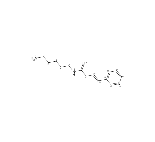 NCCCCCNC(=O)C/C=C/c1cccnc1